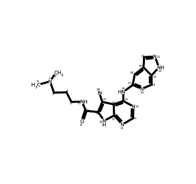 CN(C)CCCNC(=O)c1[nH]c2ncnc(Nc3cc4cn[nH]c4cn3)c2c1Br